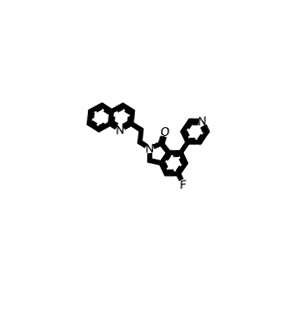 O=C1c2c(cc(F)cc2-c2ccncc2)CN1CCc1ccc2ccccc2n1